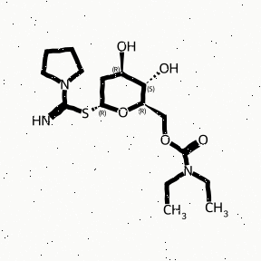 CCN(CC)C(=O)OC[C@H]1O[C@H](SC(=N)N2CCCC2)C[C@@H](O)[C@@H]1O